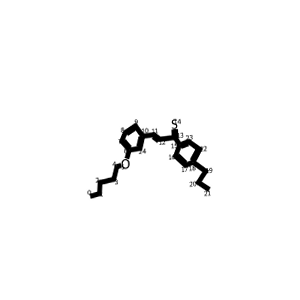 CCCCCOc1cccc(C=CC(=S)c2ccc(CCC)cc2)c1